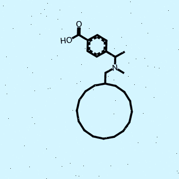 CC(c1ccc(C(=O)O)cc1)N(C)CC1CCCCCCCCCCCCCCC1